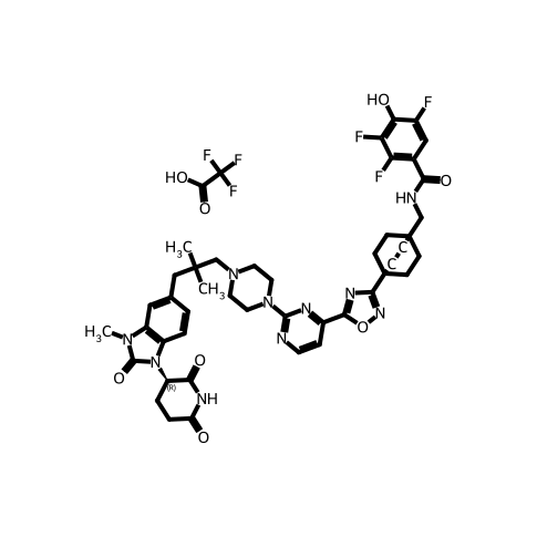 Cn1c(=O)n([C@@H]2CCC(=O)NC2=O)c2ccc(CC(C)(C)CN3CCN(c4nccc(-c5nc(C67CCC(CNC(=O)c8cc(F)c(O)c(F)c8F)(CC6)CC7)no5)n4)CC3)cc21.O=C(O)C(F)(F)F